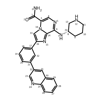 NC(=O)c1cnc(N[C@H]2CCCNC2)c2nc(-c3cccc(-c4cnc5ccccc5c4)c3)cn12